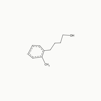 Cc1c[c]ccc1CCCCO